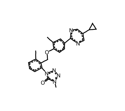 Cc1cc(-c2ncc(C3CC3)cn2)ccc1OCc1c(C)cccc1-n1nnn(C)c1=O